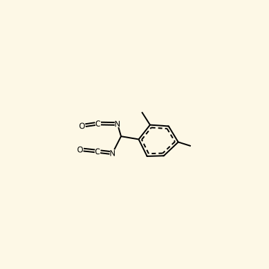 Cc1ccc(C(N=C=O)N=C=O)c(C)c1